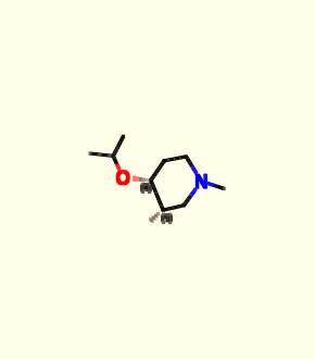 CC(C)O[C@@H]1CCN(C)C[C@@H]1C